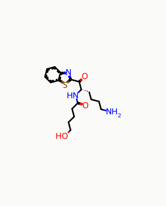 NCCCC[C@H](NC(=O)CCCCO)C(=O)c1nc2ccccc2s1